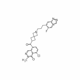 Cn1ncc2c(C(=O)C3CC4(C3)CN(CCCc3cc5nncn5cc3F)C4)ccc(Cl)c2c1=O